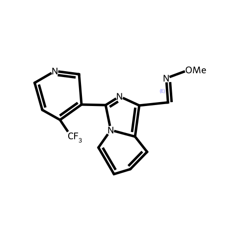 CO/N=C/c1nc(-c2cnccc2C(F)(F)F)n2ccccc12